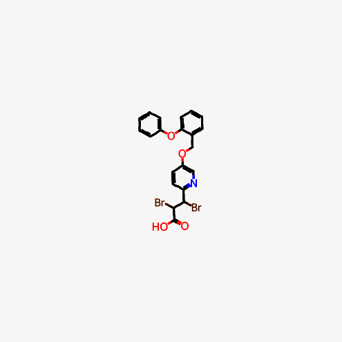 O=C(O)C(Br)C(Br)c1ccc(OCc2ccccc2Oc2ccccc2)cn1